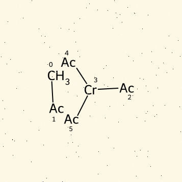 CC(C)=O.C[C](=O)[Cr]([C](C)=O)[C](C)=O